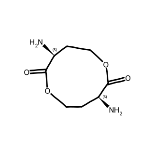 N[C@H]1CCOC(=O)[C@@H](N)CCOC1=O